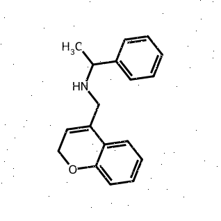 CC(NCC1=CCOc2ccccc21)c1ccccc1